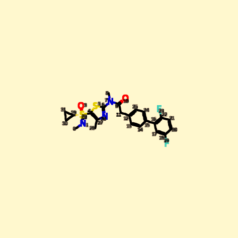 CN=[S@@](=O)(c1sc(N(C)C(=O)Cc2ccc(-c3cc(F)ccc3F)cc2)nc1C)C1CC1